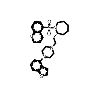 O=S(=O)(c1cccc2ncccc12)N1CCCCC[C@@H]1CCN1CCN(c2cccc3sccc23)CC1